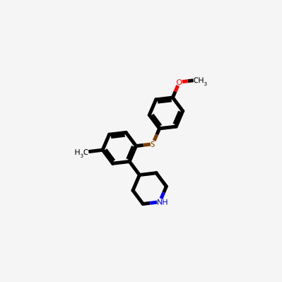 COc1ccc(Sc2ccc(C)cc2C2CCNCC2)cc1